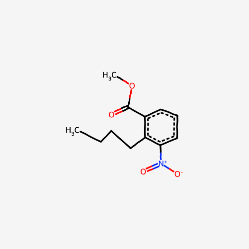 CCCCc1c(C(=O)OC)cccc1[N+](=O)[O-]